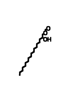 CCCCCCCCCCCCCCCCC(O)COC=O